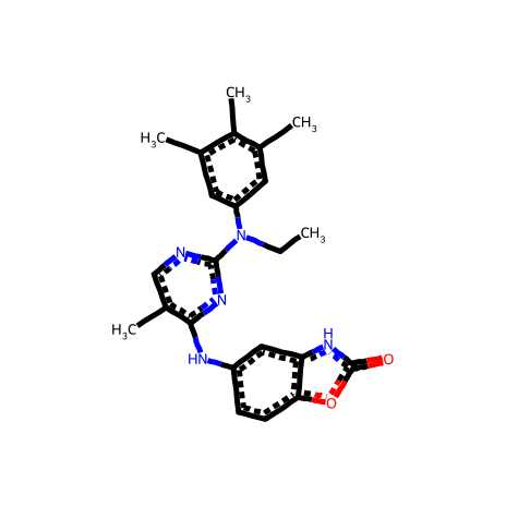 CCN(c1cc(C)c(C)c(C)c1)c1ncc(C)c(Nc2ccc3oc(=O)[nH]c3c2)n1